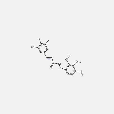 COc1ccc(CNC(=O)/C=C/c2cc(C)c(C)c(Br)c2)c(OC)c1OC